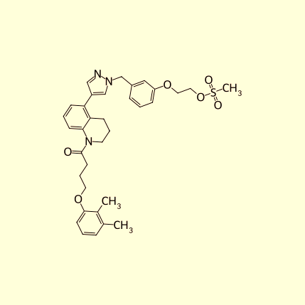 Cc1cccc(OCCCC(=O)N2CCCc3c(-c4cnn(Cc5cccc(OCCOS(C)(=O)=O)c5)c4)cccc32)c1C